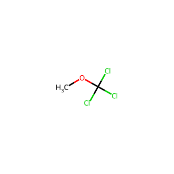 COC(Cl)(Cl)Cl